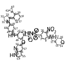 O=C(NS(=O)(=O)c1ccc(NCC2CCOCC2)c([N+](=O)[O-])c1)c1ccc(Nc2ccc(N3CCC[C@H]3c3ccccc3C3CC3)cc2)cc1Oc1cnc2[nH]ccc2c1